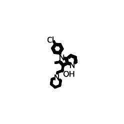 Cc1c(C(O)CN2CCCCC2)c2ncccc2n1-c1ccc(Cl)cc1